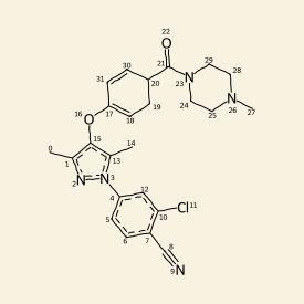 Cc1nn(-c2ccc(C#N)c(Cl)c2)c(C)c1OC1=CCC(C(=O)N2CCN(C)CC2)C=C1